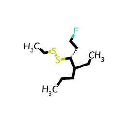 CCCC(CC)[C@@H](CCF)SSCC